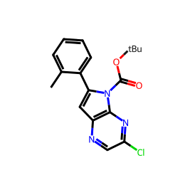 Cc1ccccc1-c1cc2ncc(Cl)nc2n1C(=O)OC(C)(C)C